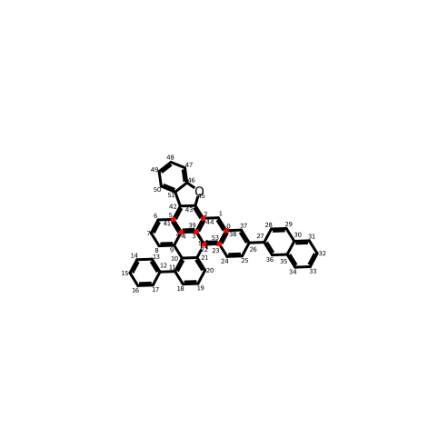 c1ccc(-c2ccccc2-c2c(-c3ccccc3)cccc2N(c2ccc(-c3ccc4ccccc4c3)cc2)c2ccc3c(c2)oc2ccccc23)cc1